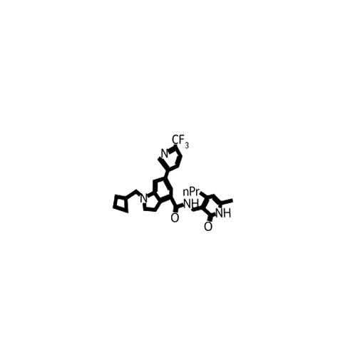 CCCc1cc(C)[nH]c(=O)c1CNC(=O)c1cc(-c2ccc(C(F)(F)F)nc2)cc2c1CCN2CC1CCC1